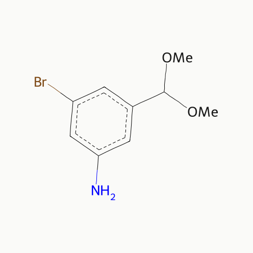 COC(OC)c1cc(N)cc(Br)c1